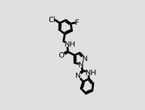 O=C(NCc1cc(F)cc(Cl)c1)c1cnn(-c2nc3ccccc3[nH]2)c1